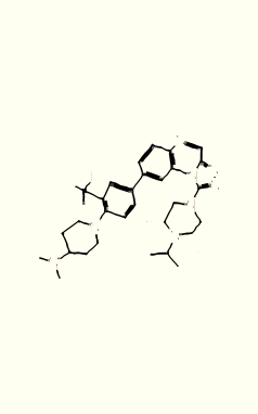 CC(C)N1[C@H](C)CN(c2nnc3cnc4ccc(-c5ccc(N6CCC(N(C)C)CC6)c(C(F)(F)F)c5)cc4n23)C[C@@H]1C